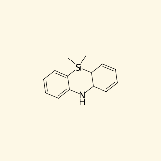 C[Si]1(C)c2ccccc2NC2C=CC=CC21